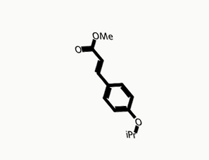 COC(=O)C=Cc1ccc(OC(C)C)cc1